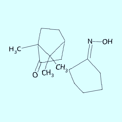 CC12CCC(CC1=O)C2(C)C.ON=C1CCCCC1